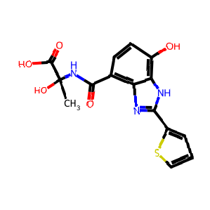 CC(O)(NC(=O)c1ccc(O)c2[nH]c(-c3cccs3)nc12)C(=O)O